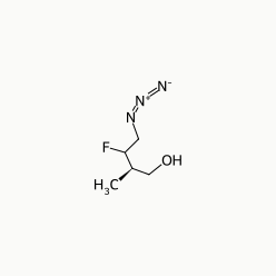 C[C@H](CO)C(F)CN=[N+]=[N-]